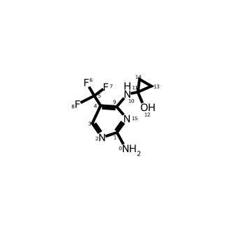 Nc1ncc(C(F)(F)F)c(NC2(O)CC2)n1